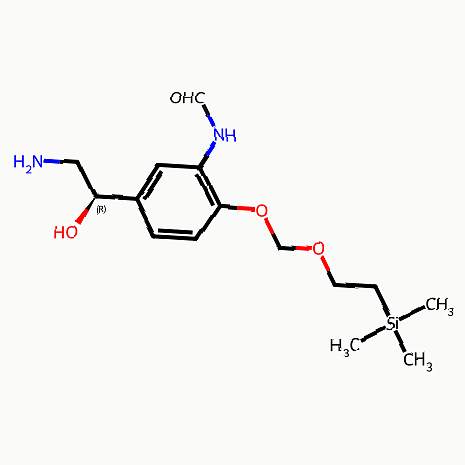 C[Si](C)(C)CCOCOc1ccc([C@@H](O)CN)cc1NC=O